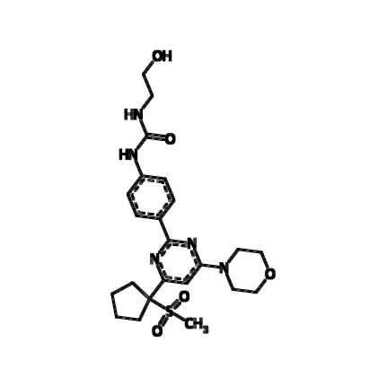 CS(=O)(=O)C1(c2cc(N3CCOCC3)nc(-c3ccc(NC(=O)NCCO)cc3)n2)CCCC1